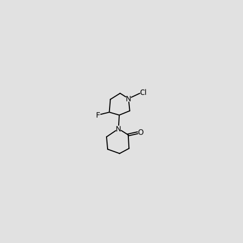 O=C1CCCCN1C1CN(Cl)CCC1F